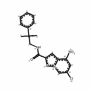 CC(C)(CNC(=O)c1cc2c([N+](=O)[O-])cc(Cl)cn2n1)c1ccccc1